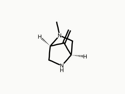 C=C1[C@H]2CN[C@@H]1CN2C